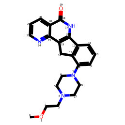 COCCN1CCN(c2cccc3c2Cc2c-3[nH]c(=O)c3cccnc23)CC1